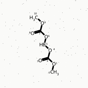 COC(=O)OBOC(=O)OC